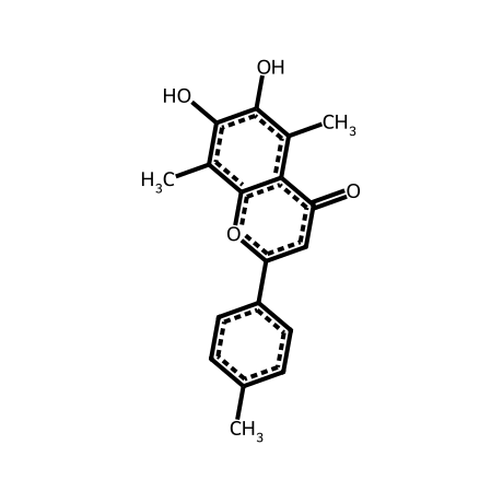 Cc1ccc(-c2cc(=O)c3c(C)c(O)c(O)c(C)c3o2)cc1